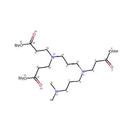 COC(=O)CCN(CCCN(C)C)CCCN(CCC(=O)OC)CCC(=O)OC